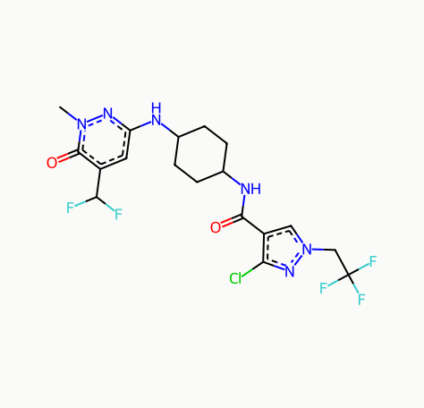 Cn1nc(NC2CCC(NC(=O)c3cn(CC(F)(F)F)nc3Cl)CC2)cc(C(F)F)c1=O